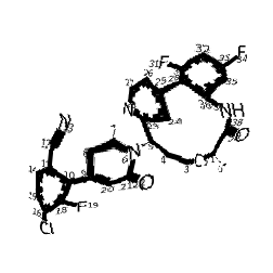 C[C@@H]1CCC[C@H](N2CCC(c3c(C#N)ccc(Cl)c3F)=CC2=O)c2cc(ccn2)-c2c(F)cc(F)cc2NC1=O